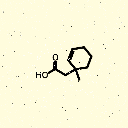 CC1(CC(=O)O)C=CCCC1